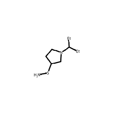 CCC(CC)N1CCC(SN)C1